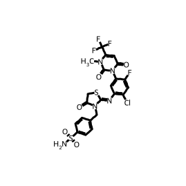 Cn1c(C(F)(F)F)cc(=O)n(-c2cc(N=C3SCC(=O)N3Cc3ccc(S(N)(=O)=O)cc3)c(Cl)cc2F)c1=O